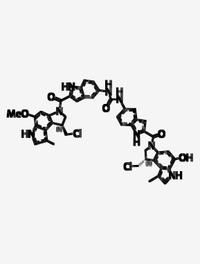 COc1cc2c(c3c(C)c[nH]c13)[C@H](CCl)CN2C(=O)c1cc2cc(NC(=O)Nc3ccc4[nH]c(C(=O)N5C[C@@H](CCl)c6c5cc(O)c5[nH]cc(C)c65)cc4c3)ccc2[nH]1